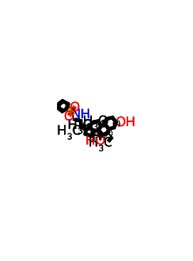 CC[C@@H]1C2C[C@H](O)CCC2(C)C2CCC3(C)C(CCC3[C@H](C)CCNS(=O)(=O)c3ccccc3)[C@@H]2[C@@H]1O